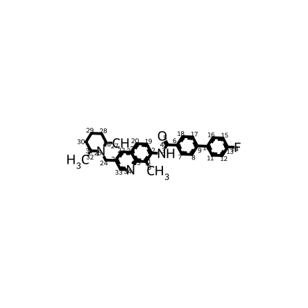 Cc1c(NC(=O)c2ccc(-c3ccc(F)cc3)cc2)ccc2cc(CN3[C@H](C)CCC[C@@H]3C)cnc12